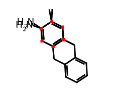 Cc1cc2c(cc1N)C1c3ccccc3C2c2cc(C)c(N)cc21